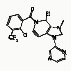 CCC1C2=C(C=CN1C(=O)c1cccc(C(F)(F)F)c1Cl)N(c1cnccn1)CN2C